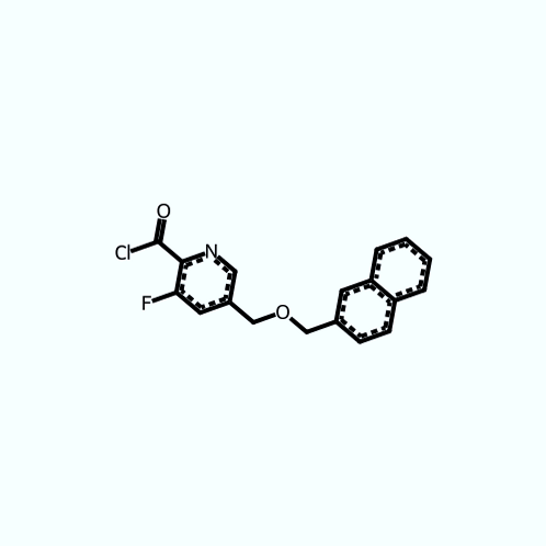 O=C(Cl)c1ncc(COCc2ccc3ccccc3c2)cc1F